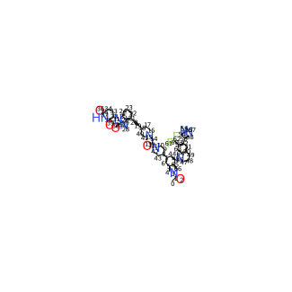 CC(=O)n1cc2cc(C3CCN(C(=O)CN4CCC(C#Cc5cccc6c5n(C)c(=O)n6C5CCC(=O)NC5=O)CC4)CC3)cc(N3CCCc4cc(-c5cnn(C)c5)c(C(F)F)cc43)c2c1